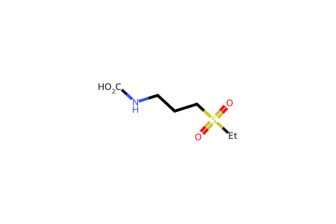 CCS(=O)(=O)CCCNC(=O)O